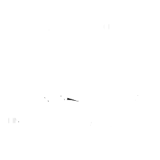 N[C@@H](CCC(=O)O)C(=O)[O-].O=C([O-])C=Cc1c[nH]cn1.[Zn+2]